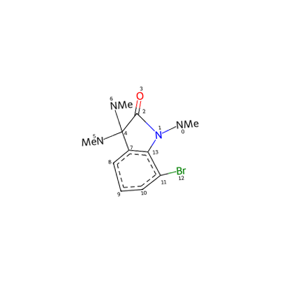 CNN1C(=O)C(NC)(NC)c2cccc(Br)c21